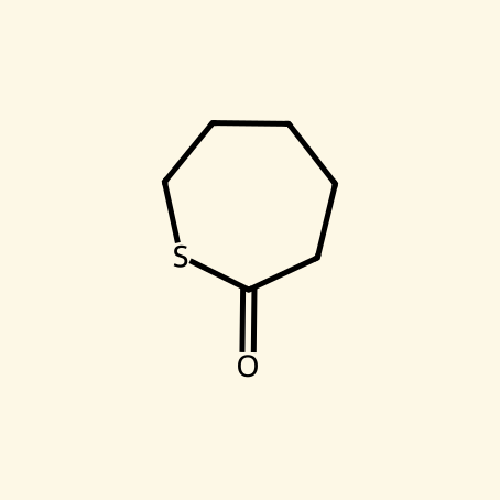 O=C1CCCCCS1